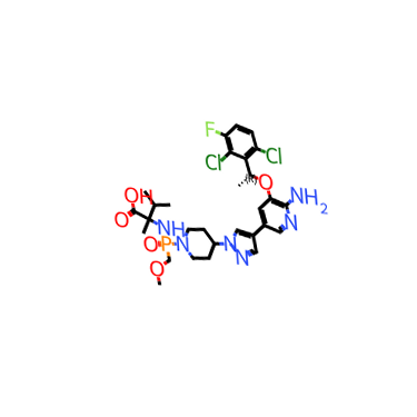 COCP(=O)(NC(C)(C(=O)O)C(C)C)N1CCC(n2cc(-c3cnc(N)c(O[C@H](C)c4c(Cl)ccc(F)c4Cl)c3)cn2)CC1